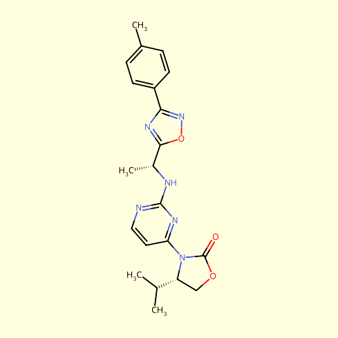 Cc1ccc(-c2noc([C@@H](C)Nc3nccc(N4C(=O)OC[C@@H]4C(C)C)n3)n2)cc1